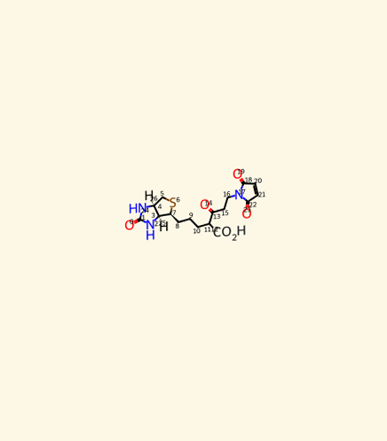 O=C1N[C@H]2[C@H](CS[C@H]2CCCC(C(=O)O)C(=O)CCN2C(=O)C=CC2=O)N1